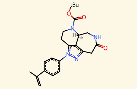 C=C(C)c1ccc(-n2nc3c4c2CCN(C(=O)OC(C)(C)C)[C@@H]4CNC(=O)C3)cc1